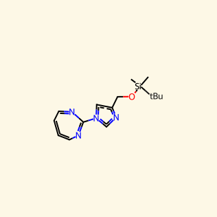 CC(C)(C)[Si](C)(C)OCc1cn(C2=NC=C=CC=N2)cn1